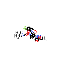 CCN(CC)CCOC(=O)N1C[C@@H]2C[C@@H](N[C@H]3CCOC[C@H]3OC)C[C@]2(C(=O)N2CCc3ccc(C(F)(F)F)cc3C2)C1